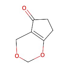 O=C1CCC2=C1COCO2